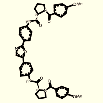 COc1ccc(C(=O)N2CCC[C@H]2C(=O)Nc2ccc(-c3cnc(-c4ccc(NC(=O)[C@@H]5CCCN5C(=O)c5ccc(OC)cc5)cc4)o3)cc2)cc1